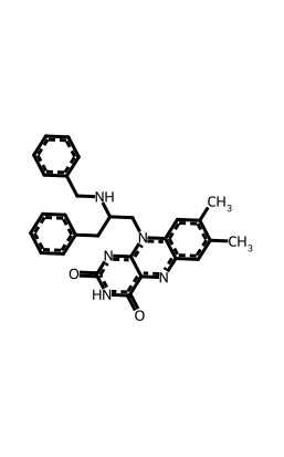 Cc1cc2nc3c(=O)[nH]c(=O)nc-3n(CC(Cc3ccccc3)NCc3ccccc3)c2cc1C